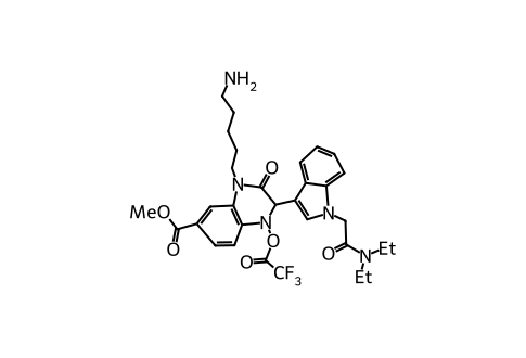 CCN(CC)C(=O)Cn1cc(C2C(=O)N(CCCCCN)c3cc(C(=O)OC)ccc3N2OC(=O)C(F)(F)F)c2ccccc21